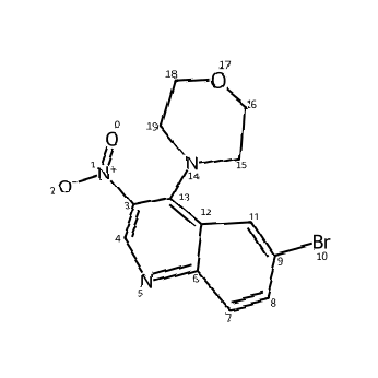 O=[N+]([O-])c1cnc2ccc(Br)cc2c1N1CCOCC1